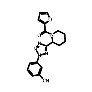 N#Cc1cccc(-n2nnc(C3CCCCN3C(=O)c3ccco3)n2)c1